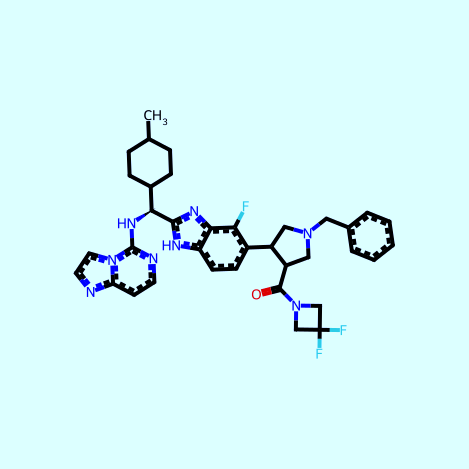 CC1CCC([C@H](Nc2nccc3nccn23)c2nc3c(F)c(C4CN(Cc5ccccc5)CC4C(=O)N4CC(F)(F)C4)ccc3[nH]2)CC1